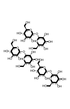 OC[C@H]1O[C@H](O[C@H]2O[C@H](CO)[C@@H](O)[C@H](O)[C@H]2O)[C@H](O)[C@@H](O)[C@@H]1O.OC[C@H]1O[C@H](O[C@H]2O[C@H](CO)[C@@H](O)[C@H](O)[C@H]2O)[C@H](O)[C@@H](O)[C@@H]1O.OC[C@H]1O[C@H](O[C@H]2O[C@H](CO)[C@@H](O)[C@H](O)[C@H]2O)[C@H](O)[C@@H](O)[C@@H]1O